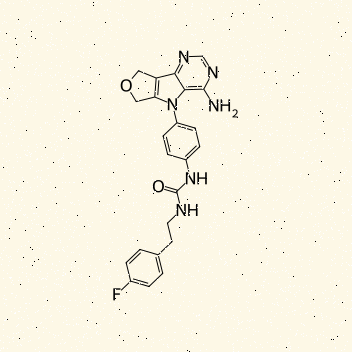 Nc1ncnc2c3c(n(-c4ccc(NC(=O)NCCc5ccc(F)cc5)cc4)c12)COC3